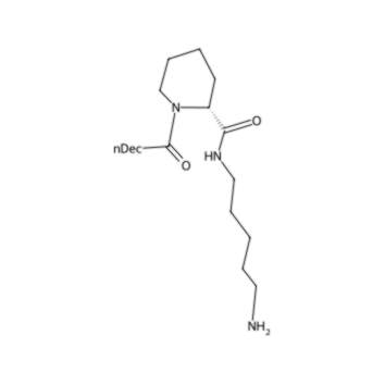 CCCCCCCCCCC(=O)N1CCCC[C@@H]1C(=O)NCCCCCN